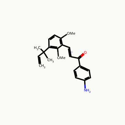 C=CC(C)(C)c1ccc(OC)c(/C=C/C(=O)c2ccc(N)cc2)c1OC